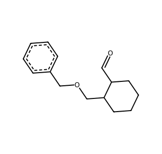 O=CC1CCCCC1COCc1ccccc1